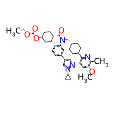 CCOC(=O)O[C@H]1CC[C@H](C(=O)N(C[C@H]2CC[C@H](c3ccc(OC)c(C)n3)CC2)c2cccc(-c3cnn(C4CC4)c3)c2)CC1